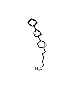 CCCCCCC1CCC(c2ccc(-c3ccccc3)cc2)CO1